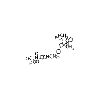 COc1cc(C2CCC(C(=O)N3CCC(N4Cc5cc6c(cc5C4)C(=O)N(C4CCC(=O)NC4=O)C6=O)CC3)CC2)ccc1[C@@H]1c2[nH]c3ccccc3c2C[C@@H](C)N1CC(F)F